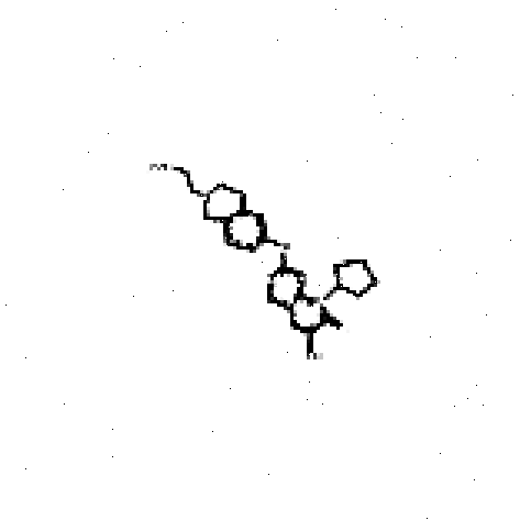 COCCN1CCc2cc(Nc3ncc4cc(C#N)c(=O)n(C5CCCC5)c4n3)ccc2C1